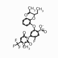 CCC(Oc1ccccc1Oc1cc(-n2c(=O)cc(C(F)(F)F)n(C)c2=O)c(F)cc1[N+](=O)[O-])C(C)=O